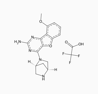 COc1cccc2oc3c(N4C[C@@H]5C[C@H]4CN5)nc(N)nc3c12.O=C(O)C(F)(F)F